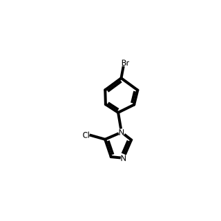 Clc1cncn1-c1ccc(Br)cc1